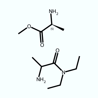 CCN(CC)C(=O)C(C)N.COC(=O)[C@H](C)N